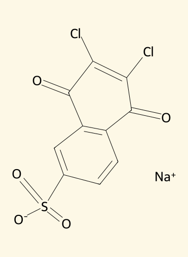 O=C1C(Cl)=C(Cl)C(=O)c2cc(S(=O)(=O)[O-])ccc21.[Na+]